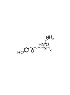 NCCC(=O)NC(N)CCCCC(=O)Cc1ccc(O)cc1